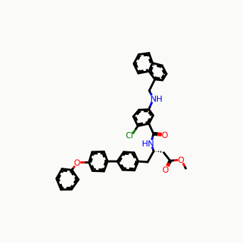 COC(=O)C[C@H](Cc1ccc(-c2ccc(Oc3ccccc3)cc2)cc1)NC(=O)c1cc(NCc2cccc3ccccc23)ccc1Cl